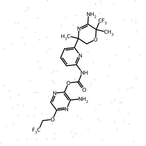 CC1(c2cccc(NC(=O)Oc3ncc(OCC(F)(F)F)nc3N)n2)COC(C)(C(F)(F)F)C(N)=N1